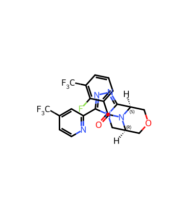 O=C(c1cccc(C(F)(F)F)c1F)N1[C@H]2COC[C@@H]1c1nnc(-c3cc(C(F)(F)F)ccn3)n1C2